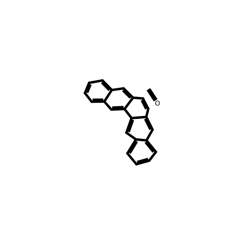 C=O.c1ccc2cc3c(ccc4cc5ccccc5cc43)cc2c1